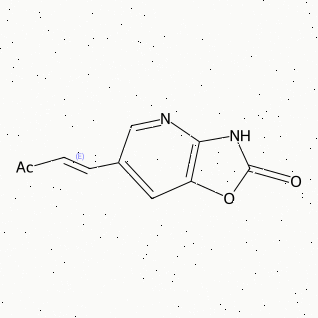 CC(=O)/C=C/c1cnc2[nH]c(=O)oc2c1